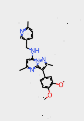 COc1ccc(-c2c(C)nn3c(NCc4ccc(C)nc4)cc(C)nc23)cc1OC